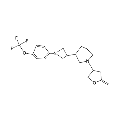 C=C1CC(N2CCCC(C3CN(c4ccc(OC(F)(F)F)cc4)C3)C2)CO1